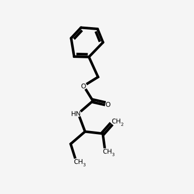 C=C(C)C(CC)NC(=O)OCc1ccccc1